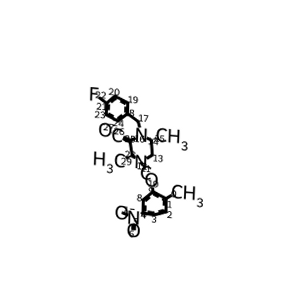 Cc1ccc([N+](=O)[O-])cc1OCN1C[C@@H](C)N(Cc2ccc(F)cc2)C(=C=O)[C@@H]1C